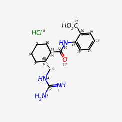 Cl.N=C(N)NC[C@@H]1CCCC[C@H]1C(=O)Nc1ccccc1C(=O)O